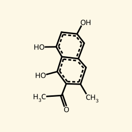 CC(=O)c1c(C)cc2cc(O)cc(O)c2c1O